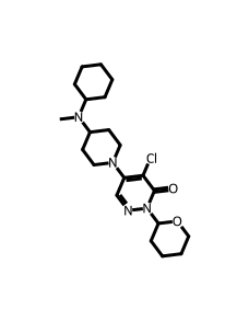 CN(C1CCCCC1)C1CCN(c2cnn(C3CCCCO3)c(=O)c2Cl)CC1